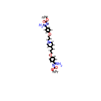 CCCOC(=O)/N=C(\N)c1ccc(OCCCC2CCN(CCCOc3ccc(/C(N)=N/C(=O)OCCC)cc3)CC2)cc1